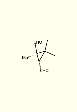 CC(C)(C)[C@@]1(C=O)[C@@H](C=O)C1(C)C